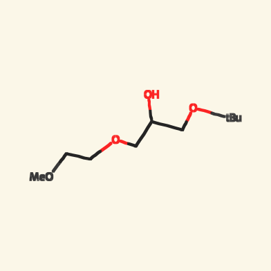 COCCOCC(O)COC(C)(C)C